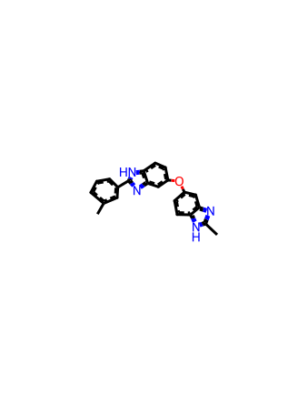 Cc1cccc(-c2nc3cc(Oc4ccc5[nH]c(C)nc5c4)ccc3[nH]2)c1